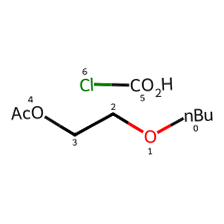 CCCCOCCOC(C)=O.O=C(O)Cl